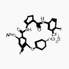 CCOC(=O)[C@H]1CC[C@@H](Oc2cc(C(=O)NC3=C(C(=O)Nc4ccc(F)c(C(F)(F)F)c4)CCC3)c(OC)cc2F)CC1